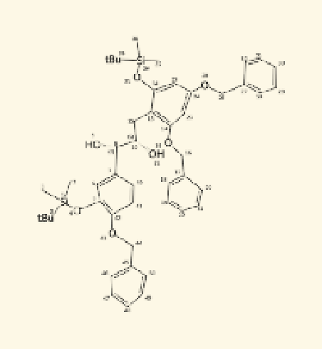 CC(C)(C)[Si](C)(C)Oc1cc([C@H](O)[C@@H](O)Cc2c(OCc3ccccc3)cc(OCc3ccccc3)cc2O[Si](C)(C)C(C)(C)C)ccc1OCc1ccccc1